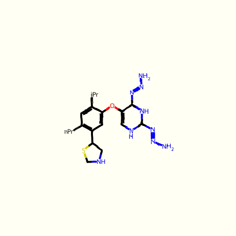 CCCc1cc(C(C)C)c(OC2=CNC(N=NN)NC2N=NN)cc1C1CNCS1